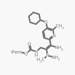 CCCC(C)OC(=O)NC/C(=C(/N)c1ccc(OC2CCCCC2)c(C)n1)N(C)N